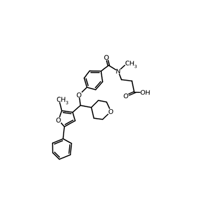 Cc1oc(-c2ccccc2)cc1C(Oc1ccc(C(=O)N(C)CCC(=O)O)cc1)C1CCOCC1